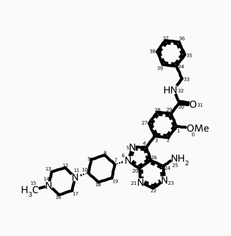 COc1cc(-c2nn([C@H]3CC[C@@H](N4CCN(C)CC4)CC3)c3ncnc(N)c23)ccc1C(=O)NCc1ccccc1